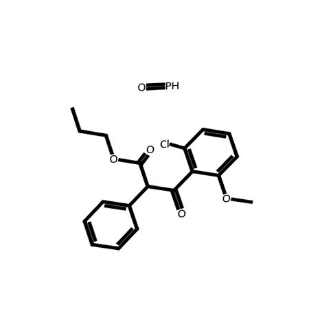 CCCOC(=O)C(C(=O)c1c(Cl)cccc1OC)c1ccccc1.O=P